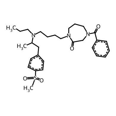 CCCN(CCCCN1CCCN(C(=O)c2ccccc2)CC1=O)C(C)Cc1ccc(S(C)(=O)=O)cc1